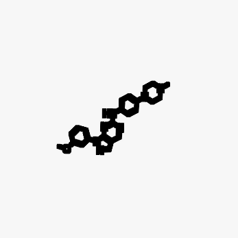 COc1cccc(-n2ncc3cnc(Nc4ccc(N5CCN(C)CC5)cc4)nc32)c1